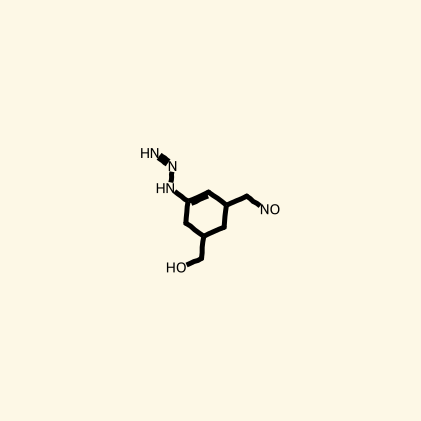 N=NNC1=CC(CN=O)CC(CO)C1